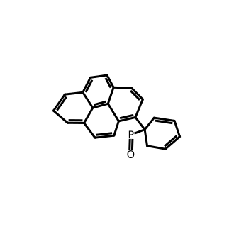 O=PC1(c2ccc3ccc4cccc5ccc2c3c45)C=CC=CC1